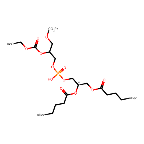 CCCCCCCCCCCCCC(=O)OC[C@H](COP(=O)(O)OCC(COC(=O)OCC)OC(=O)OCOC(C)=O)OC(=O)CCCCCCCCCCCCC